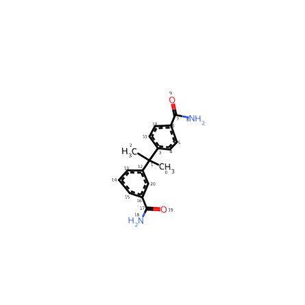 CC(C)(c1ccc(C(N)=O)cc1)c1cccc(C(N)=O)c1